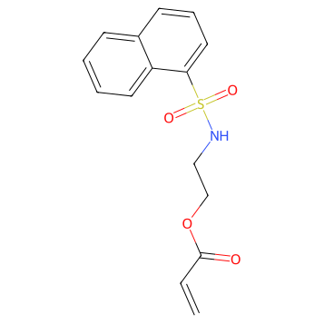 C=CC(=O)OCCNS(=O)(=O)c1cccc2ccccc12